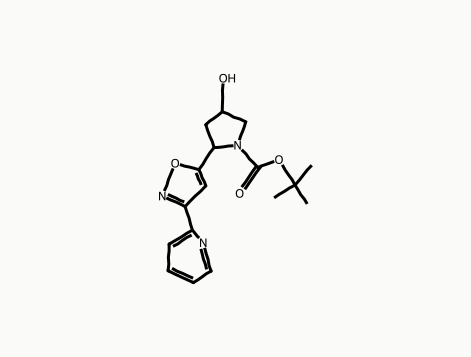 CC(C)(C)OC(=O)N1CC(O)CC1c1cc(-c2ccccn2)no1